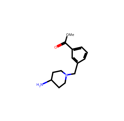 COC(=O)c1cccc(CN2CCC(N)CC2)c1